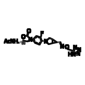 CC(=O)NC[C@H]1CN(c2ccc(N3CC4C(C=NOCc5nnn[nH]5)C4C3)c(F)c2)C(=O)O1